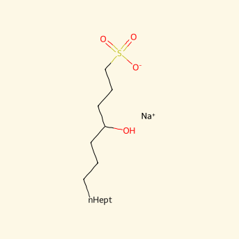 CCCCCCCCCCC(O)CCCS(=O)(=O)[O-].[Na+]